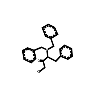 O=C(CCl)C(Cc1ccccc1)N(Cc1ccccc1)Cc1ccccc1